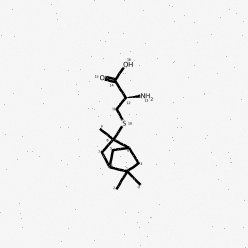 CC1(C)CC2CC1CC2(C)SC[C@H](N)C(=O)O